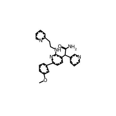 COc1cccc(-c2ccc(C(C(N)=O)c3cccnc3)c(NCCc3ccccn3)n2)c1